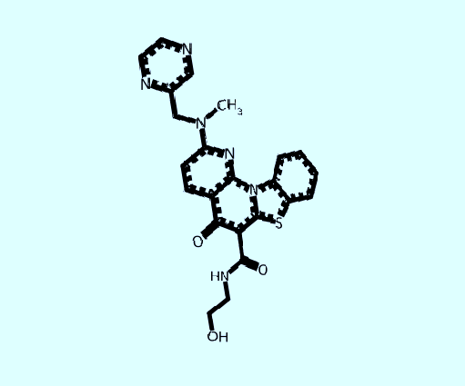 CN(Cc1cnccn1)c1ccc2c(=O)c(C(=O)NCCO)c3sc4ccccc4n3c2n1